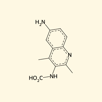 Cc1nc2ccc(N)cc2c(C)c1NC(=O)O